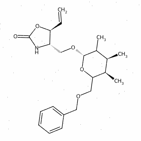 C=C[C@@H]1OC(=O)N[C@H]1CO[C@H]1OC(COCc2ccccc2)[C@H](C)[C@H](C)C1C